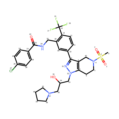 CS(=O)(=O)N1CCc2c(c(-c3ccc(C(F)(F)F)c(CNC(=O)c4ccc(Cl)cc4)c3)nn2CC(O)CN2CCCC2)C1